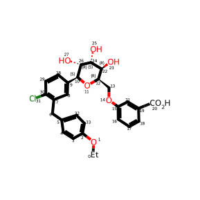 CCOc1ccc(Cc2cc([C@@H]3O[C@H](COc4cccc(C(=O)O)c4)[C@H](O)[C@@H](O)[C@H]3O)ccc2Cl)cc1